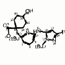 CC(C)(C)OC(=O)C1(Cc2cccc(Nc3cc(I)nn3C(C)(C)C)n2)CCC(O)CC1